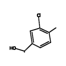 Cc1ccc([CH]O)cc1Cl